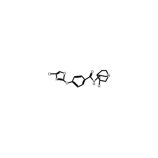 O=C(N[C@H]1CN2CCC1CC2)c1ccc(Oc2nc(Cl)co2)cc1